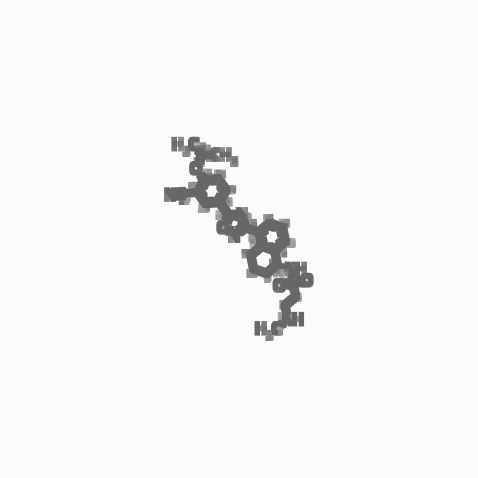 CNCCS(=O)(=O)N[C@@H]1CCCc2c(-c3noc(-c4ccc(OC(C)C)c(C#N)c4)n3)cccc21